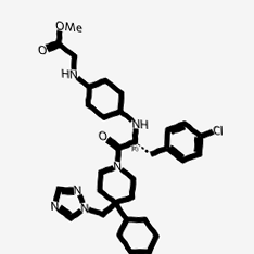 COC(=O)CNC1CCC(N[C@H](Cc2ccc(Cl)cc2)C(=O)N2CCC(Cn3cncn3)(C3CCCCC3)CC2)CC1